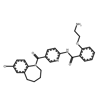 NCCOc1ccccc1C(=O)Nc1ccc(C(=O)N2CCCCc3cc(Cl)ccc32)cn1